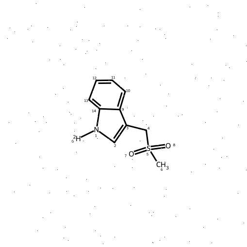 [2H]n1cc(CS(C)(=O)=O)c2ccccc21